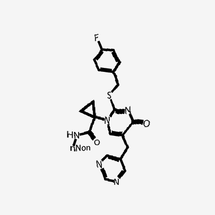 CCCCCCCCCNC(=O)C1(n2cc(Cc3cncnc3)c(=O)nc2SCc2ccc(F)cc2)CC1